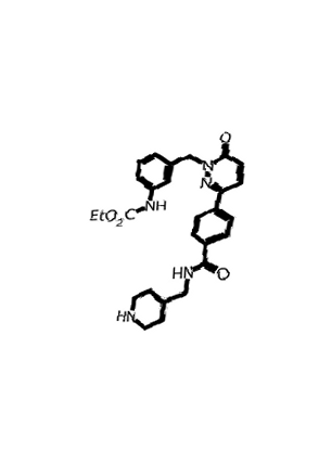 CCOC(=O)Nc1cccc(Cn2nc(-c3ccc(C(=O)NCC4CCNCC4)cc3)ccc2=O)c1